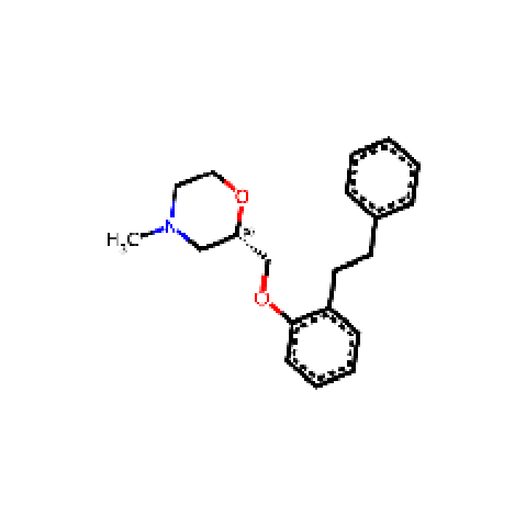 CN1CCO[C@H](COc2ccccc2CCc2ccccc2)C1